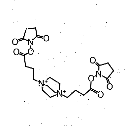 O=C(CCC[N+]12CC[N+](CCCC(=O)ON3C(=O)CCC3=O)(CC1)CC2)ON1C(=O)CCC1=O